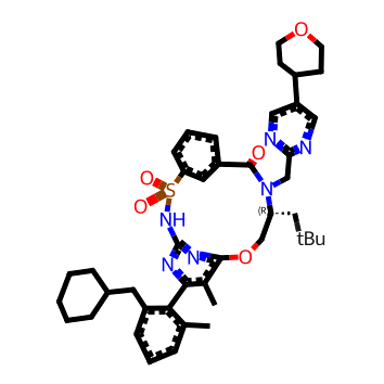 Cc1cccc(CC2CCCCC2)c1-c1nc2nc(c1C)OC[C@@H](CC(C)(C)C)N(Cc1ncc(C3CCOCC3)cn1)C(=O)c1cccc(c1)S(=O)(=O)N2